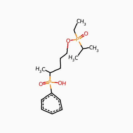 CCP(=O)(OCCCC(C)P(=O)(O)c1ccccc1)C(C)C